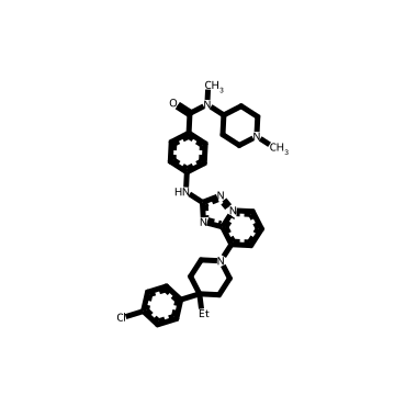 CCC1(c2ccc(Cl)cc2)CCN(c2cccn3nc(Nc4ccc(C(=O)N(C)C5CCN(C)CC5)cc4)nc23)CC1